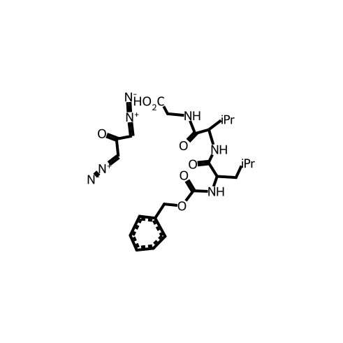 CC(C)CC(NC(=O)OCc1ccccc1)C(=O)NC(C(=O)NCC(=O)O)C(C)C.[N-]=[N+]=CC(=O)C=[N+]=[N-]